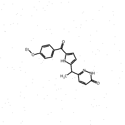 CCOc1ccc(C(=O)c2ccc(C(C)c3ccc(=O)[nH]n3)[nH]2)cc1